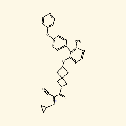 N#C/C(=C\C1CC1)C(=O)N1CC2(CC(Oc3ncnc(N)c3-c3ccc(Oc4ccccc4)cc3)C2)C1